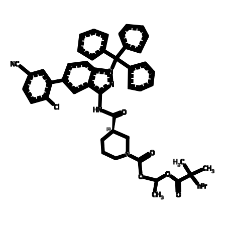 CCCC(C)(C)C(=O)OC(C)OC(=O)N1CCC[C@@H](C(=O)Nc2nn(C(c3ccccc3)(c3ccccc3)c3ccccc3)c3ccc(-c4cc(C#N)ccc4Cl)cc23)C1